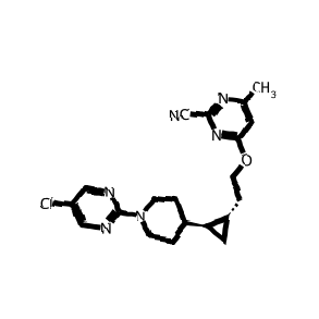 Cc1cc(OCC[C@@H]2C[C@H]2C2CCN(c3ncc(Cl)cn3)CC2)nc(C#N)n1